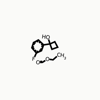 CCOC=O.OC1(c2cccc(F)c2)CCC1